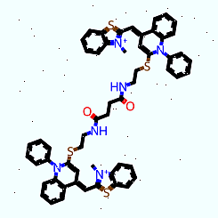 C[n+]1c(/C=C2\C=C(SCCNC(=O)CCC(=O)NCCSC3=C/C(=C\c4sc5ccccc5[n+]4C)c4ccccc4N3c3ccccc3)N(c3ccccc3)c3ccccc32)sc2ccccc21